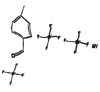 Cc1ccc(C=O)cc1.F[B-](F)(F)F.F[B-](F)(F)F.F[B-](F)(F)F.[KH]